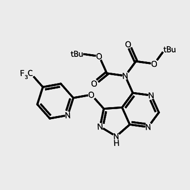 CC(C)(C)OC(=O)N(C(=O)OC(C)(C)C)c1ncnc2[nH]nc(Oc3cc(C(F)(F)F)ccn3)c12